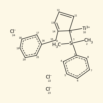 C[Si](C)(c1ccccc1)[C]1([Ti+3])C=CC=C1Cc1ccccc1.[Cl-].[Cl-].[Cl-]